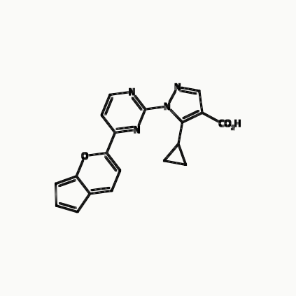 O=C(O)c1cnn(-c2nccc(-c3ccc4cccc-4o3)n2)c1C1CC1